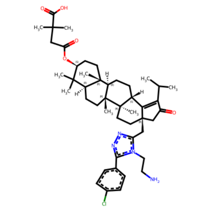 CC(C)C1=C2[C@H]3CC[C@@H]4[C@@]5(C)CC[C@H](OC(=O)CC(C)(C)C(=O)O)C(C)(C)[C@@H]5CC[C@@]4(C)[C@]3(C)CC[C@@]2(Cc2nnc(-c3ccc(Cl)cc3)n2CCN)CC1=O